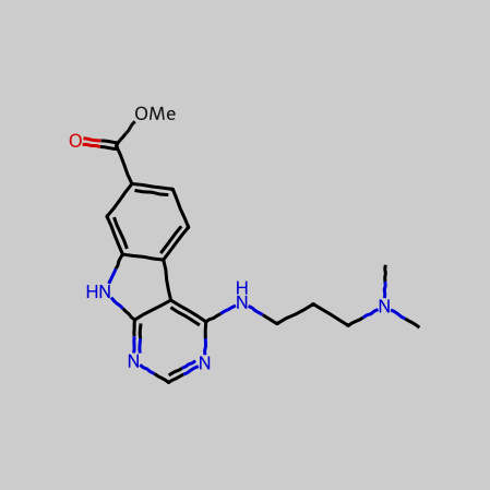 COC(=O)c1ccc2c(c1)[nH]c1ncnc(NCCCN(C)C)c12